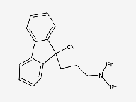 CC(C)N(CCCC1(C#N)c2ccccc2-c2ccccc21)C(C)C